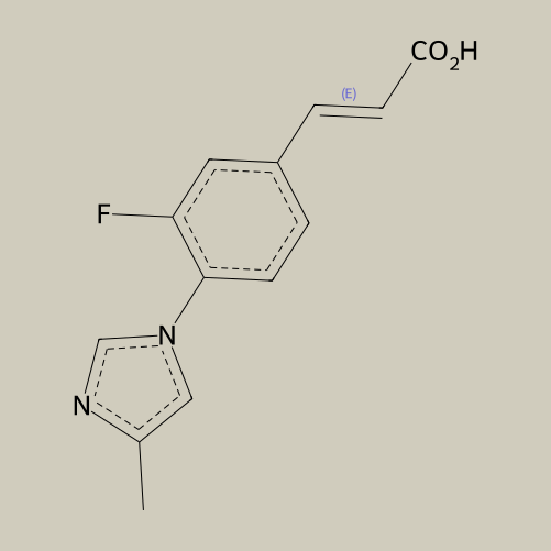 Cc1cn(-c2ccc(/C=C/C(=O)O)cc2F)cn1